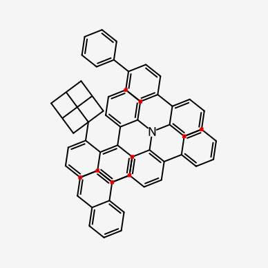 c1ccc(-c2ccc(-c3ccccc3N(c3cc(-c4cccc5ccccc45)ccc3-c3ccccc3)c3ccccc3-c3cccc4cccc(C56CC7CC8CC(C5)C876)c34)cc2)cc1